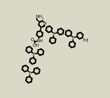 NCc1cncc(-c2ccc(NC(=O)O)cc2)c1.[Pd].c1ccc(P(c2ccccc2)c2ccccc2)cc1.c1ccc(P(c2ccccc2)c2ccccc2)cc1.c1ccc(P(c2ccccc2)c2ccccc2)cc1.c1ccc(P(c2ccccc2)c2ccccc2)cc1